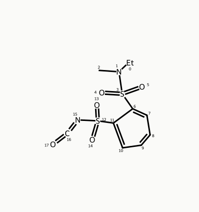 CCN(C)S(=O)(=O)c1ccccc1S(=O)(=O)N=C=O